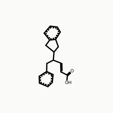 O=C(O)C=CC(Cc1ccccc1)C1Cc2ccccc2C1